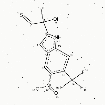 CC(O)(C=S)c1cc2cc([N+](=O)[O-])c(C(F)(F)F)cc2[nH]1